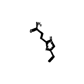 C=Cc1c[nH]c(C=CC(N)=O)n1